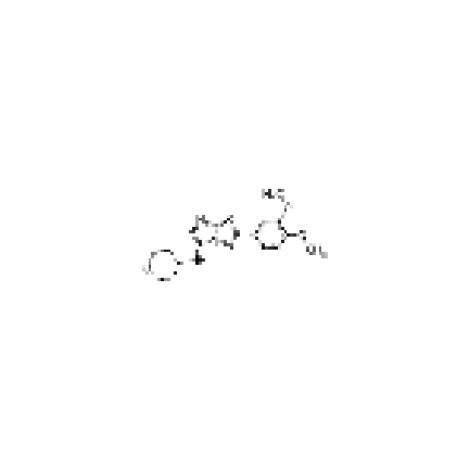 COc1ccc(-c2nn3c(NC4CCOCC4)cnc3s2)cc1OC